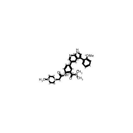 COc1ccccc1-c1c[nH]c2ncc(-c3ccc(NC(=O)CN4CCN(C)CC4)c(C(=O)N(C)C)c3)cc12